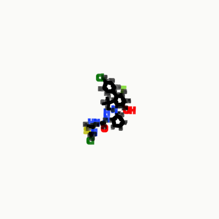 CC1(C)CN(c2ccccc2NC(=O)Nc2csc(Cl)n2)c2c(O)cc(F)c(-c3ccc(Cl)cc3)c21